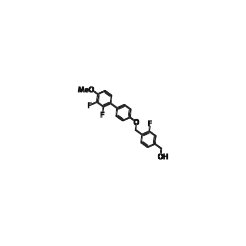 COc1ccc(-c2ccc(OCc3ccc(CO)cc3F)cc2)c(F)c1F